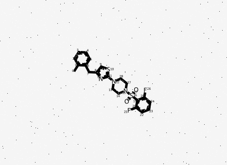 Cc1ccccc1Cc1csc(N2CCN(S(=O)(=O)c3c(F)cccc3F)CC2)n1